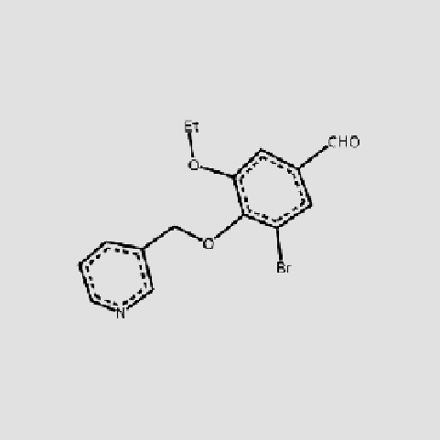 CCOc1cc(C=O)cc(Br)c1OCc1cccnc1